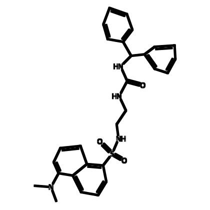 CN(C)c1cccc2c(S(=O)(=O)NCCNC(=O)NC(c3ccccc3)c3ccccc3)cccc12